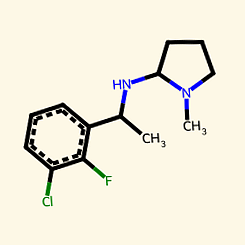 CC(NC1CCCN1C)c1cccc(Cl)c1F